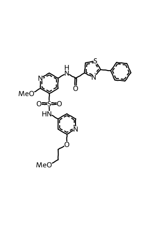 COCCOc1cc(NS(=O)(=O)c2cc(NC(=O)c3csc(-c4ccccc4)n3)cnc2OC)ccn1